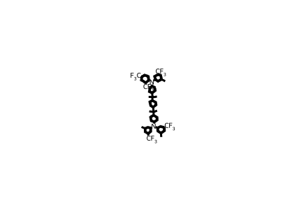 Cc1cc(N(c2ccc(C(C)(C)c3ccc(C(C)(C)c4ccc(N(c5cc(C)cc(C(F)(F)F)c5)c5ccc(C(F)(F)F)cc5C(F)(F)F)cc4)cc3)cc2)c2cc(C)cc(C(F)(F)F)c2)cc(C(F)(F)F)c1